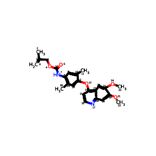 C=C(C)COC(=O)Nc1cc(C)c(Oc2ccnc3cc(OC)c(OC)cc23)cc1C